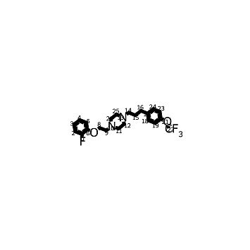 Fc1ccccc1OCCN1CCN(CCCc2ccc(OC(F)(F)F)cc2)CC1